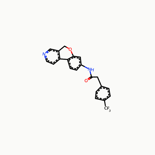 O=C(Cc1ccc(C(F)(F)F)cc1)Nc1ccc2c(c1)OCc1cnccc1-2